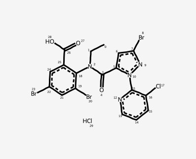 CCN(C(=O)c1cc(Br)nn1-c1ncccc1Cl)c1c(Br)cc(Br)cc1C(=O)O.Cl